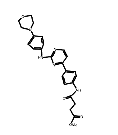 COC(=O)CCC(=O)Nc1ccc(-c2ccnc(Nc3ccc(N4CCOCC4)cc3)n2)cc1